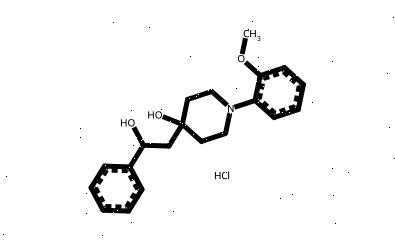 COc1ccccc1N1CCC(O)(CC(O)c2ccccc2)CC1.Cl